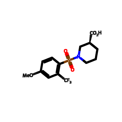 COc1ccc(S(=O)(=O)N2CCC[C@H](C(=O)O)C2)c(C(F)(F)F)c1